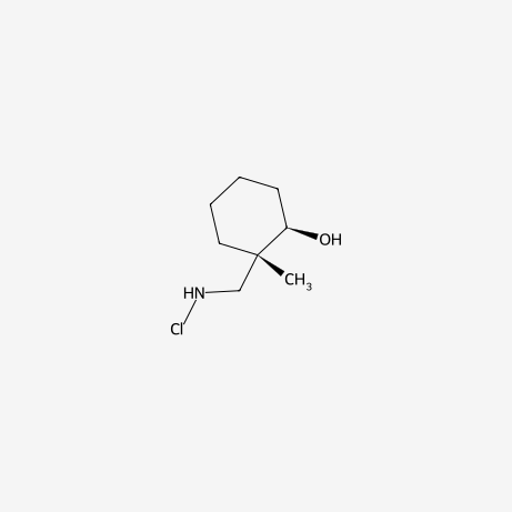 C[C@@]1(CNCl)CCCC[C@H]1O